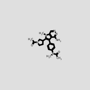 CC(=O)N1CCC(c2c(-c3ccc(N(C)C(C)=O)cc3)c3c(N)nncc3n2C)C1